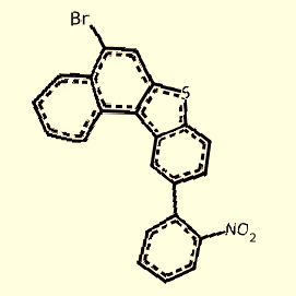 O=[N+]([O-])c1ccccc1-c1ccc2sc3cc(Br)c4ccccc4c3c2c1